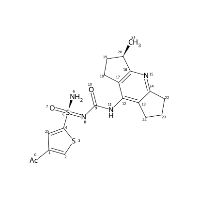 CC(=O)c1csc([S@](N)(=O)=NC(=O)Nc2c3c(nc4c2CC[C@H]4C)CCC3)c1